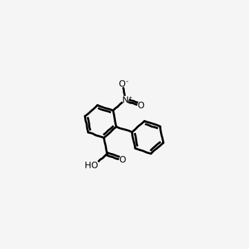 O=C(O)c1cccc([N+](=O)[O-])c1-c1ccccc1